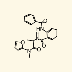 CC(NC(=O)c1ccccc1NC(=O)c1ccccc1)C(=O)N(C)c1ccco1